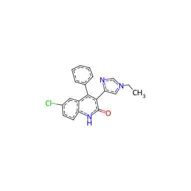 CCn1cnc(-c2c(-c3ccccc3)c3cc(Cl)ccc3[nH]c2=O)c1